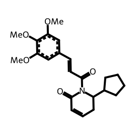 COc1cc(C=CC(=O)N2C(=O)C=CCC2C2CCCC2)cc(OC)c1OC